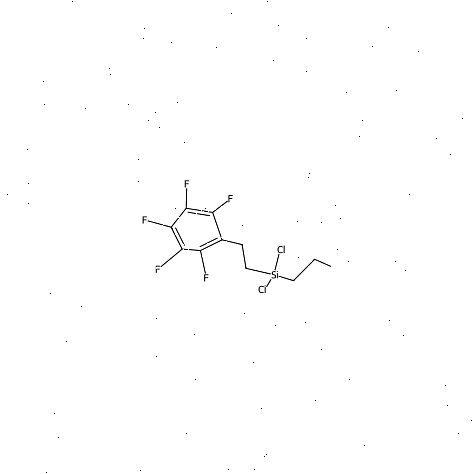 CCC[Si](Cl)(Cl)CCc1c(F)c(F)c(F)c(F)c1F